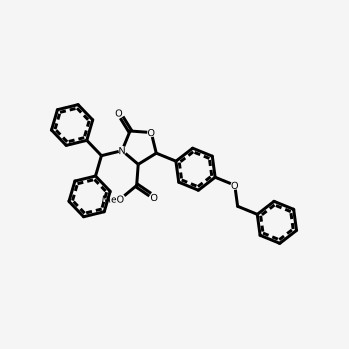 COC(=O)C1C(c2ccc(OCc3ccccc3)cc2)OC(=O)N1C(c1ccccc1)c1ccccc1